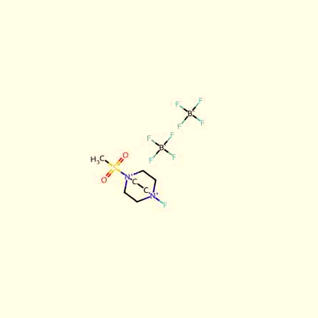 CS(=O)(=O)[N+]12CC[N+](F)(CC1)CC2.F[B-](F)(F)F.F[B-](F)(F)F